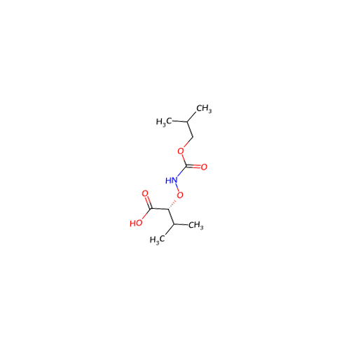 CC(C)COC(=O)NO[C@@H](C(=O)O)C(C)C